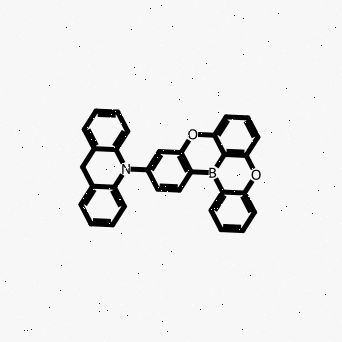 c1ccc2c(c1)Cc1ccccc1N2c1ccc2c(c1)Oc1cccc3c1B2c1ccccc1O3